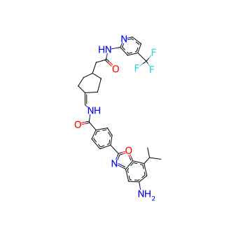 CC(C)c1cc(N)cc2nc(-c3ccc(C(=O)NC=C4CCC(CC(=O)Nc5cc(C(F)(F)F)ccn5)CC4)cc3)oc12